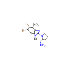 CCn1c(N2CCCC2CN)nc2c([N+](=O)[O-])c(Br)c(Br)cc21